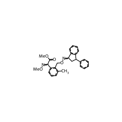 CO/N=C(/C(=O)OC)c1cccc(C)c1CO/N=C1\CC(c2ccccc2)c2ccccc21